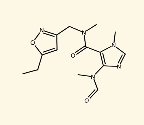 CCc1cc(CN(C)C(=O)c2c(N(C)C=O)ncn2C)no1